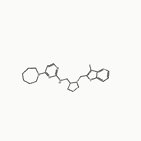 Cc1c(CN2CCCC2CNc2nccc(N3CCCCCC3)n2)sc2ccccc12